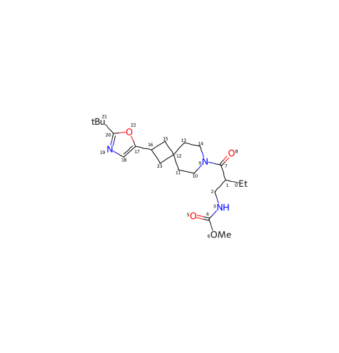 CCC(CNC(=O)OC)C(=O)N1CCC2(CC1)CC(c1cnc(C(C)(C)C)o1)C2